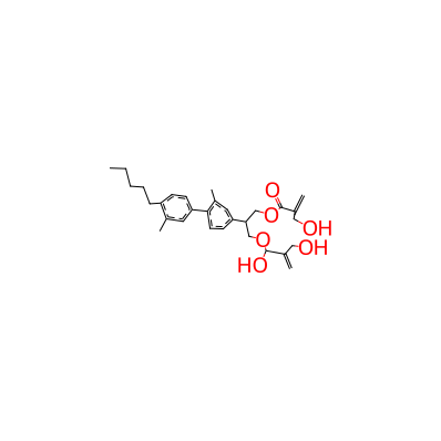 C=C(CO)C(=O)OCC(COC(O)C(=C)CO)c1ccc(-c2ccc(CCCCC)c(C)c2)c(C)c1